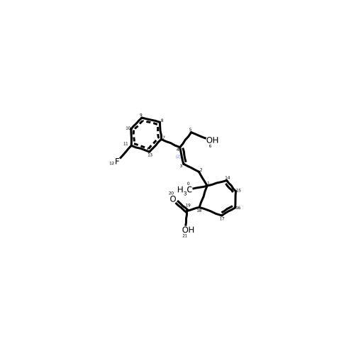 CC1(C/C=C(\CO)c2cccc(F)c2)C=CC=CC1C(=O)O